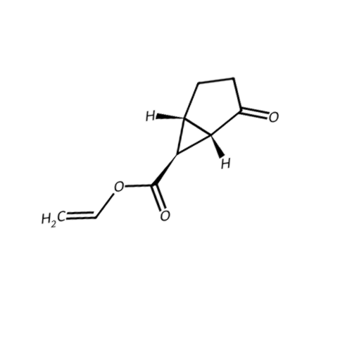 C=COC(=O)[C@H]1[C@@H]2CCC(=O)[C@@H]21